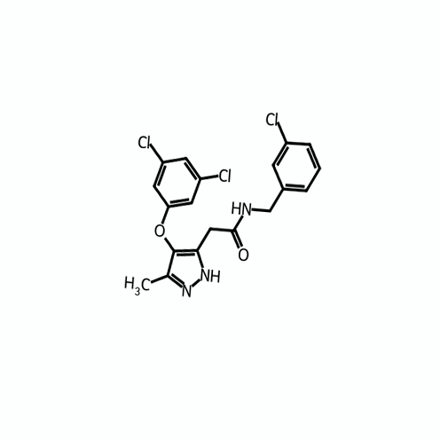 Cc1n[nH]c(CC(=O)NCc2cccc(Cl)c2)c1Oc1cc(Cl)cc(Cl)c1